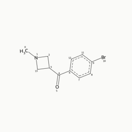 CN1CC(C(=O)c2ccc(Br)cc2)C1